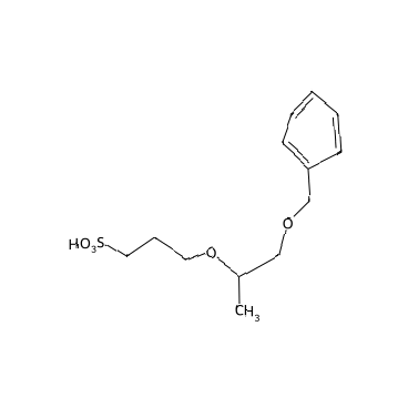 CC(COCc1ccccc1)OCCCS(=O)(=O)O